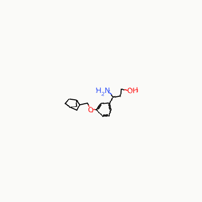 NC(CCO)c1cccc(OCC2CC3CCC2C3)c1